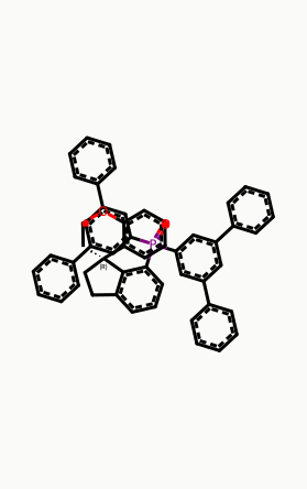 O=P(c1cc(-c2ccccc2)cc(-c2ccccc2)c1)(c1cc(-c2ccccc2)cc(-c2ccccc2)c1)c1cccc2c1[C@@]1(CCOc3ccccc31)CC2